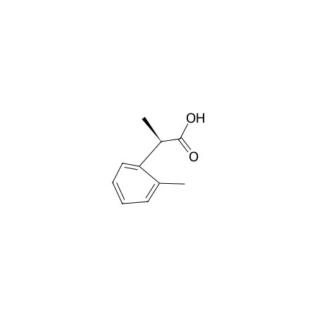 Cc1ccccc1[C@@H](C)C(=O)O